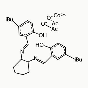 CC(=O)[O-].CC(=O)[O-].CCC(C)c1ccc(O)c(C=NC2CCCCC2N=Cc2cc(C(C)CC)ccc2O)c1.[Co+2]